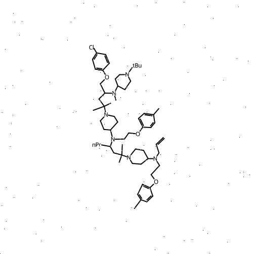 C=CCN(CCOc1ccc(C)cc1)C1CCN(C(C)(C)CC(CCC)N(CCOc2ccc(C)cc2)C2CCN(C(C)(C)CC(COc3ccc(Cl)cc3)N(C)C3CCN(C(C)(C)C)CC3)CC2)CC1